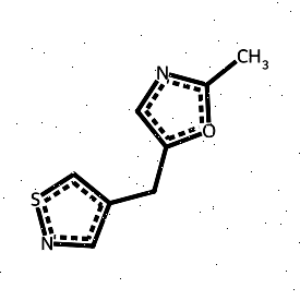 Cc1ncc(Cc2cnsc2)o1